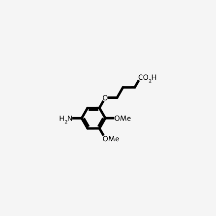 COc1cc(N)cc(OCCCC(=O)O)c1OC